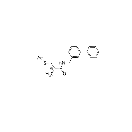 CC(=O)SC[C@@H](C)C(=O)NCc1cccc(-c2ccccc2)c1